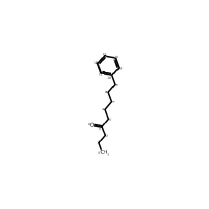 CCCC(=O)CCCCCc1ccccc1